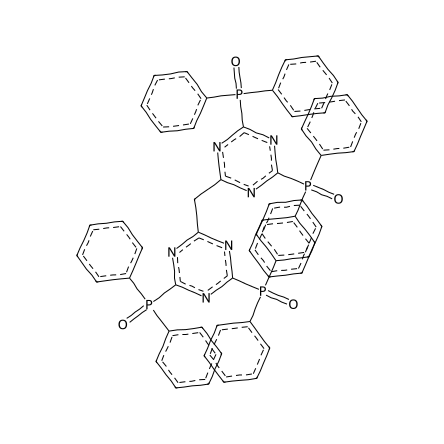 O=P(c1ccccc1)(c1ccccc1)c1nc(Cc2nc(P(=O)(c3ccccc3)c3ccccc3)nc(P(=O)(c3ccccc3)c3ccccc3)n2)nc(P(=O)(c2ccccc2)c2ccccc2)n1